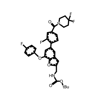 CC(C)(C)OC(=O)NCc1cc2cc(-c3ccc(C(=O)N4CCC(F)(F)CC4)cc3F)cc(Oc3ccc(F)cc3)c2o1